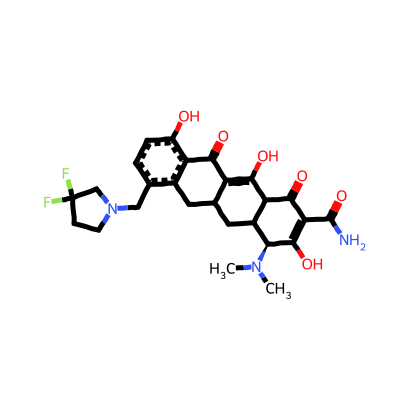 CN(C)[C@@H]1C(O)=C(C(N)=O)C(=O)C2C(O)=C3C(=O)c4c(O)ccc(CN5CCC(F)(F)C5)c4CC3CC21